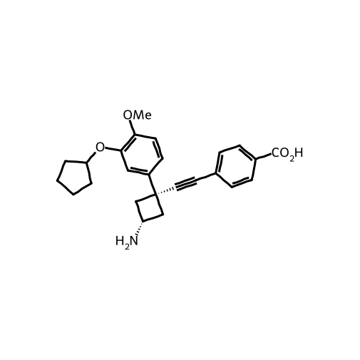 COc1ccc([C@]2(C#Cc3ccc(C(=O)O)cc3)C[C@@H](N)C2)cc1OC1CCCC1